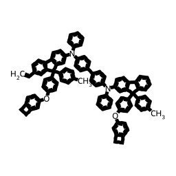 C=Cc1ccc2c(c1)C(c1ccc(C)cc1)(c1ccc(Oc3ccc4c(c3)CC4)cc1)c1cc(N(c3ccccc3)c3ccc(-c4ccc(N(c5ccccc5)c5ccc6c(c5)C(c5ccc(C)cc5)(c5ccc(Oc7ccc8c(c7)CC8)cc5)c5ccccc5-6)cc4)cc3)ccc1-2